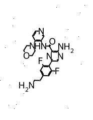 NCCc1cc(F)c(-c2cnc(N)c(C(=O)Nc3cnccc3N3CCOCC3)n2)c(F)c1